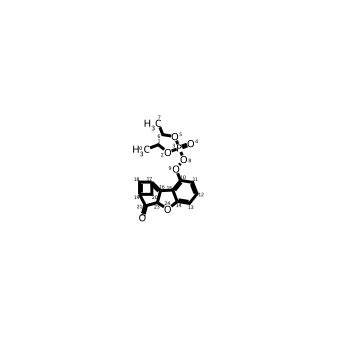 CCOP(=O)(OCC)OOc1cccc2c1C1=C3C=C(C3)C(=O)C1O2